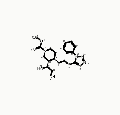 CC(C)(C)OC(=O)N1CC[C@@H](CCSc2nnnn2-c2ccccc2)[C@@H](C(O)CO)C1